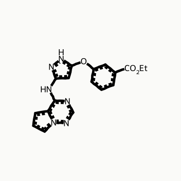 CCOC(=O)c1cccc(Oc2cc(Nc3ncnn4cccc34)n[nH]2)c1